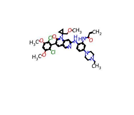 C=CC(=O)Nc1cc(N2CCN(CC)CC2)ccc1Nc1cc2c(cn1)cc(-c1c(Cl)c(OC)cc(OC)c1Cl)c(=O)n2C1(COC)CC1